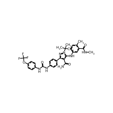 CNC(=O)c1cc(Nc2c(C(N)=O)c(-c3ccc(NC(=O)Nc4ccc(OC(F)(F)F)cc4)cc3)nn2C(C)(C)C)ccc1C